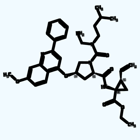 C=C[C@@H]1C[C@]1(NC(=O)[C@@H]1C[C@@H](Oc2cc(-c3ccccc3)nc3cc(OC)ccc23)CN1C(=O)N(CN)CCC(C)C)C(=O)OCC